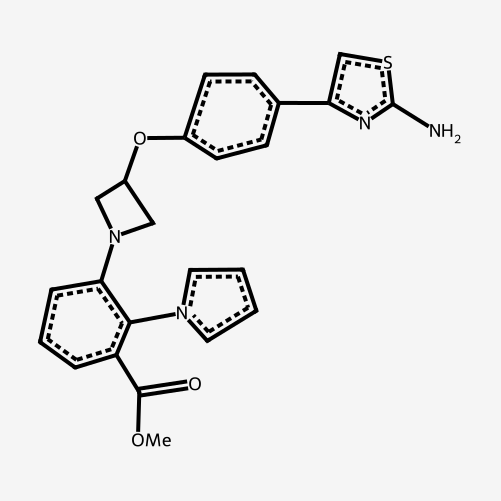 COC(=O)c1cccc(N2CC(Oc3ccc(-c4csc(N)n4)cc3)C2)c1-n1cccc1